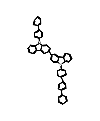 C1=C(c2ccc(-c3ccccc3)cc2)CCC(n2c3ccccc3c3cc(-c4ccc5c(c4)c4ccccc4n5-c4ccc(-c5ccccc5)cc4)ccc32)=C1